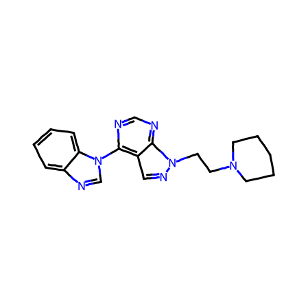 c1ccc2c(c1)ncn2-c1ncnc2c1cnn2CCN1CCCCC1